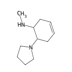 CNC1CC=CCC1N1CCCC1